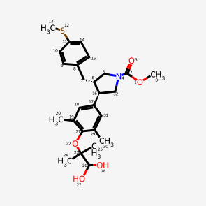 COC(=O)N1C[C@@H](Cc2ccc(SC)cc2)[C@H](c2cc(C)c(OC(C)(C)C(O)O)c(C)c2)C1